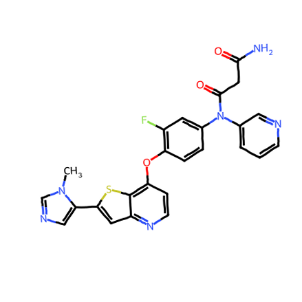 Cn1cncc1-c1cc2nccc(Oc3ccc(N(C(=O)CC(N)=O)c4cccnc4)cc3F)c2s1